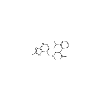 Cc1nc2c(CN3CCN(C)C(c4ccccc4C(C)C)C3)ccnc2o1